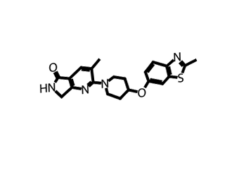 Cc1nc2ccc(OC3CCN(c4nc5c(cc4C)C(=O)NC5)CC3)cc2s1